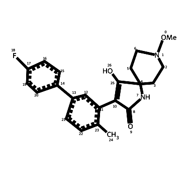 CON1CCC2(CC1)NC(=O)C(c1cc(-c3ccc(F)cc3)ccc1C)=C2O